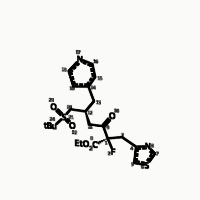 CCOC(=O)[C@@](F)(Cc1cscn1)C(=O)C[C@H](Cc1ccncc1)CS(=O)(=O)C(C)(C)C